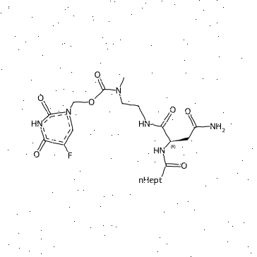 CCCCCCCC(=O)N[C@H](CC(N)=O)C(=O)NCCN(C)C(=O)OCn1cc(F)c(=O)[nH]c1=O